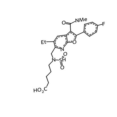 CCc1cc2c(C(=O)NC)c(-c3ccc(F)cc3)oc2nc1CN(CCCCC(=O)O)[SH](=O)=O